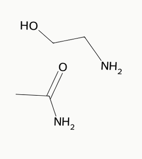 CC(N)=O.NCCO